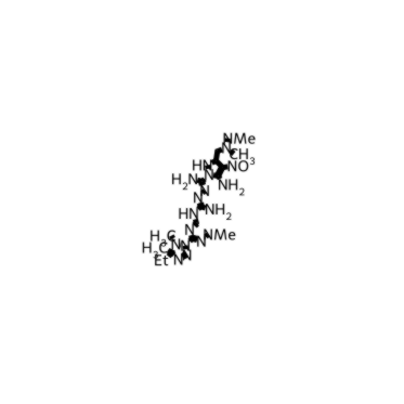 CCC1(C)N=NN(C(/N=C/N/C(N)=N/N=C(\N)N2NC(CN(C)NC)C(N=O)=C2N)=N/NC)N1C